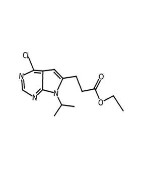 CCOC(=O)CCc1cc2c(Cl)ncnc2n1C(C)C